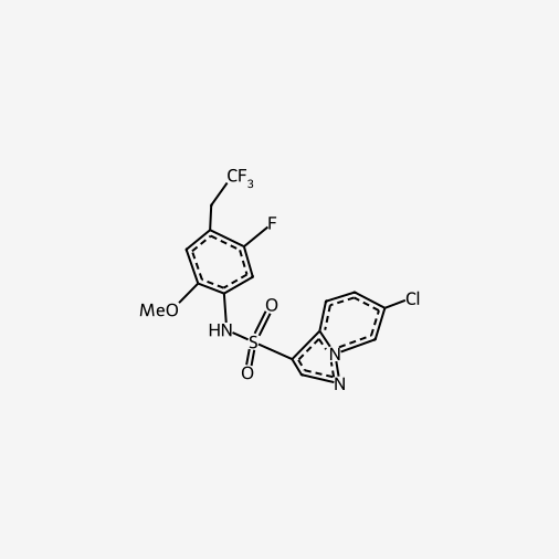 COc1cc(CC(F)(F)F)c(F)cc1NS(=O)(=O)c1cnn2cc(Cl)ccc12